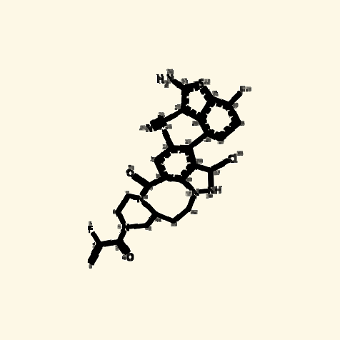 C=C(F)C(=O)N1CCN2C(=O)c3cc(F)c(-c4ccc(F)c5sc(N)c(C#N)c45)c4c3N(CCC2C1)NC4Cl